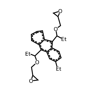 CCc1ccc2c(C(CC)OCC3CO3)c3ccccc3c(C(CC)OCC3CO3)c2c1